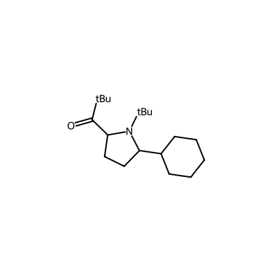 CC(C)(C)C(=O)C1CCC(C2CCCCC2)N1C(C)(C)C